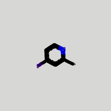 [CH2]c1cc(I)ccn1